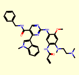 C=CC(=O)Nc1cc(Nc2ncc(C(=O)NCc3ccccc3)c(-c3cn(C)c4ccccc34)n2)c(OC)cc1N(C)CCN(C)C